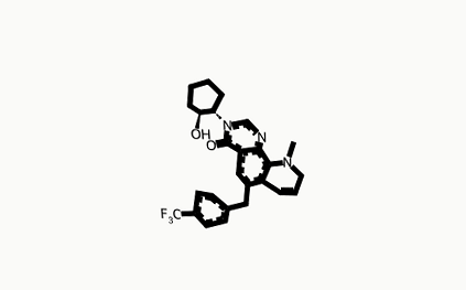 CN1CC=Cc2c(Cc3ccc(C(F)(F)F)cc3)cc3c(=O)n([C@H]4CCCC[C@@H]4O)cnc3c21